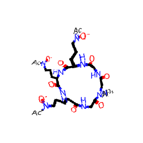 CC(=O)N([O-])CCCC1NC(=O)CNC(=O)CNC(=O)CNC(=O)C(CCCN([O-])C(C)=O)NC(=O)C(CCCN([O-])C(C)=O)NC1=O.[Al+3]